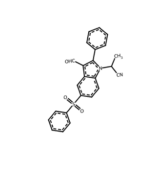 CC(C#N)n1c(-c2ccccc2)c(C=O)c2cc(S(=O)(=O)c3ccccc3)ccc21